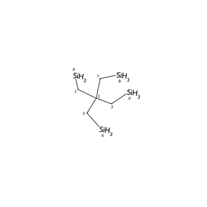 [SiH3]CC(C[SiH3])(C[SiH3])C[SiH3]